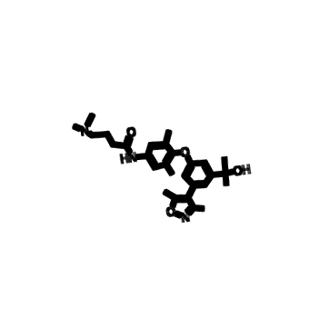 Cc1cc(NC(=O)CCCN(C)C)cc(C)c1Oc1cc(-c2c(C)noc2C)cc(C(C)(C)O)c1